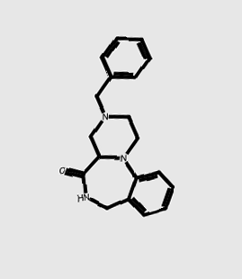 O=C1NCc2ccccc2N2CCN(Cc3ccccc3)CC12